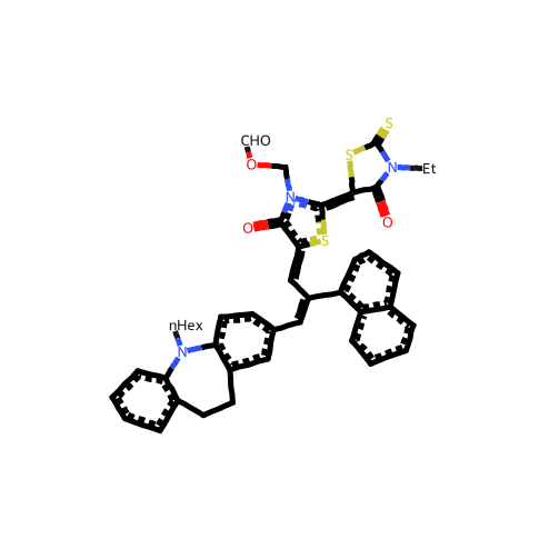 CCCCCCN1c2ccccc2CCc2cc(/C=C(\C=c3/s/c(=C4/SC(=S)N(CC)C4=O)n(COC=O)c3=O)c3cccc4ccccc34)ccc21